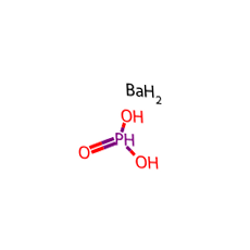 O=[PH](O)O.[BaH2]